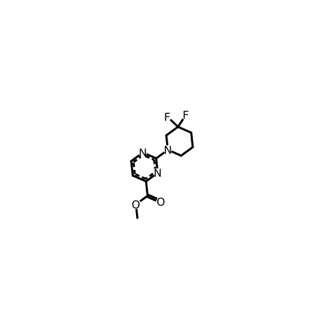 COC(=O)c1ccnc(N2CCCC(F)(F)C2)n1